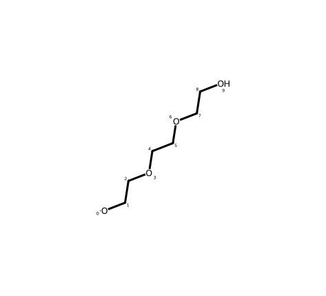 [O]CCOCCOCCO